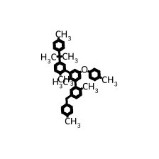 Cc1ccc(Cc2ccc(C)c(-c3cc(Oc4ccc(C)cc4)cc(-c4cc(C(C)(C)c5ccc(C)cc5)ccc4C)c3C)c2)cc1